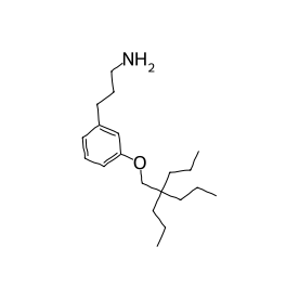 CCCC(CCC)(CCC)COc1cccc(CCCN)c1